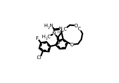 CN1C(=O)[C@@]2(CCOCCCCOc3ccc(-c4cc(F)cc(Cl)c4)cc32)N=C1N